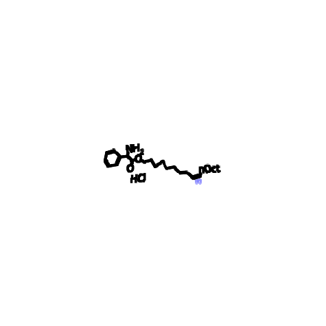 CCCCCCCC/C=C\CCCCCCCCOC(=O)C(N)c1ccccc1.Cl